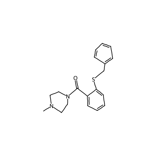 CN1CCN(C(=O)c2ccccc2SCc2ccccc2)CC1